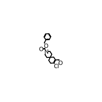 O=CC1=C(Cl)CCC2(CCN(C(=O)OCc3ccccc3)CC2)C1